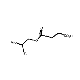 CCCCC(CC)COC(=O)CCC(=O)O